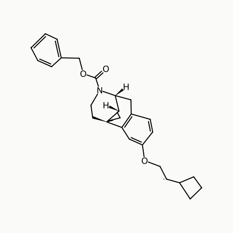 O=C(OCc1ccccc1)N1CC[C@]23CCCC[C@H]2[C@H]1Cc1ccc(OC[CH]C2CCC2)cc13